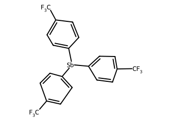 FC(F)(F)c1cc[c]([Sb]([c]2ccc(C(F)(F)F)cc2)[c]2ccc(C(F)(F)F)cc2)cc1